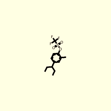 CCC(CC)c1ccc(OS(=O)(=O)C(F)(F)F)c(C)c1